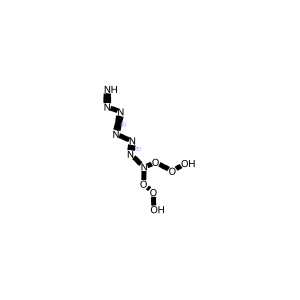 N=N/N=N/N=N/N(OOO)OOO